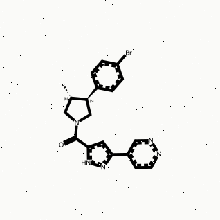 C[C@H]1CN(C(=O)c2cc(-c3ccnnc3)n[nH]2)C[C@@H]1c1ccc(Br)cc1